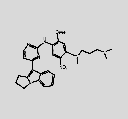 COc1cc(N(C)CCCN(C)C)c([N+](=O)[O-])cc1Nc1nccc(-c2c3n(c4ccccc24)CCC3)n1